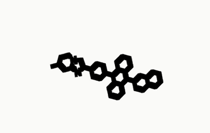 Cc1ccn2cc(-c3ccc(-c4c5ccccc5c(-c5ccc6ccccc6c5)c5ccccc45)cc3)nc2c1